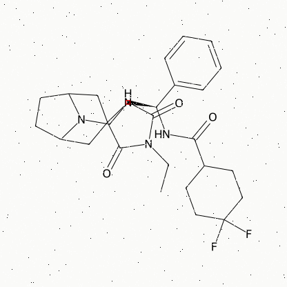 CCN1C(=O)NC2(CC3CCC(C2)N3CC[C@H](NC(=O)C2CCC(F)(F)CC2)c2ccccc2)C1=O